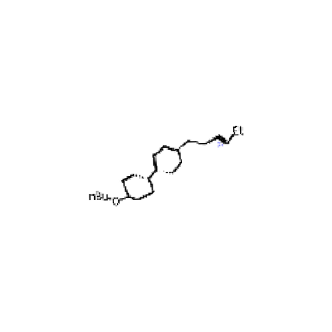 CC/C=C/CC[C@H]1CC[C@H]([C@H]2CC[C@H](OCCCC)CC2)CC1